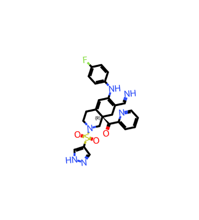 N=CC1=C(Nc2ccc(F)cc2)C=C2CCN(S(=O)(=O)c3cn[nH]c3)C[C@@]2(C(=O)c2ccccn2)C1